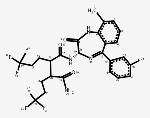 Cc1cccc2c1NC(=O)[C@@H](NC(=O)C(CCC(F)(F)F)C(CCC(F)(F)F)C(N)=O)N=C2c1cccc(F)c1